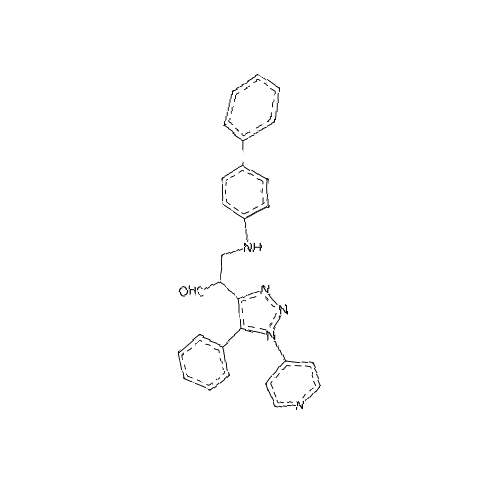 O=CC(CNc1ccc(-c2ccccc2)cc1)c1nnn(-c2ccncc2)c1-c1ccccc1